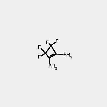 FC1(F)C(P)=C(P)C1(F)F